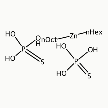 CCCCCCC[CH2][Zn][CH2]CCCCC.OP(O)(O)=S.OP(O)(O)=S